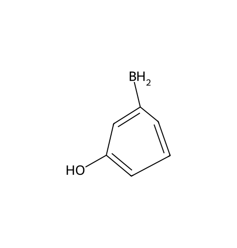 Bc1cccc(O)c1